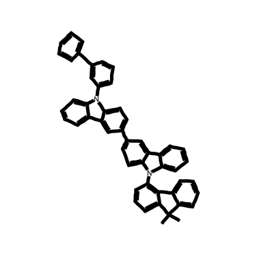 CC1(C)c2ccccc2-c2c(-n3c4ccccc4c4cc(-c5ccc6c(c5)c5ccccc5n6-c5cccc(-c6ccccc6)c5)ccc43)cccc21